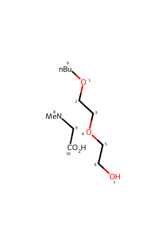 CCCCOCCOCCO.CNCC(=O)O